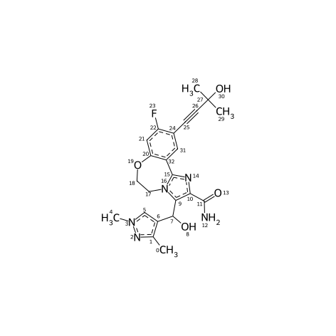 Cc1nn(C)cc1C(O)c1c(C(N)=O)nc2n1CCOc1cc(F)c(C#CC(C)(C)O)cc1-2